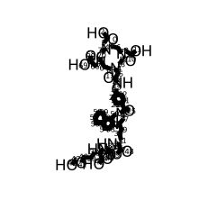 O=C(O)CN1CCN(CC(=O)O)CCN(CC(=O)NCc2ccc(C(=O)N(CCCCC[C@@H](NC(=O)N[C@H](CCCOCO)C(=O)O)C(=O)O)Cc3nccc4ccccc34)cc2)CCN(CC(=O)O)CC1